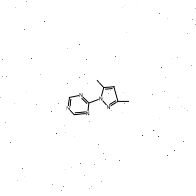 Cc1cc(C)n(-c2ncncn2)n1